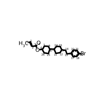 CC=CC(=O)OC1CCC(C2CCC(CCc3ccc(Br)cc3)CC2)CC1